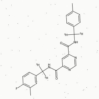 [2H]C([2H])(NC(=O)c1cc(C(=O)NC([2H])([2H])c2ccc(F)c(C)c2)ncn1)c1ccc(C)cc1